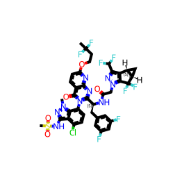 Cn1nc(NS(C)(=O)=O)c2c(Cl)ccc(-n3c([C@H](Cc4cc(F)cc(F)c4)NC(=O)Cn4nc(C(F)F)c5c4C(F)(F)[C@@H]4C[C@H]54)nc4nc(OCCC(C)(F)F)ccc4c3=O)c21